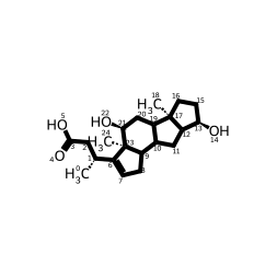 C[C@H](CC(=O)O)C1=CCC2C3CC4[C@H](O)CC[C@]4(C)C3C[C@H](O)[C@]12C